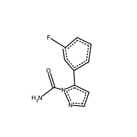 NC(=O)n1n[c]cc1-c1cccc(F)c1